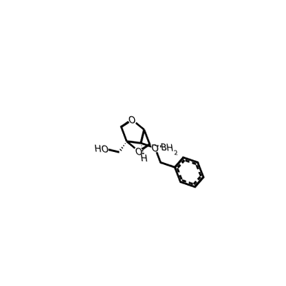 B[C@@H]1O[C@@]2(CO)COC1[C@H]2OCc1ccccc1